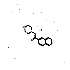 Cl.O=C(CN1CCNCC1)c1ccc2ccccc2c1